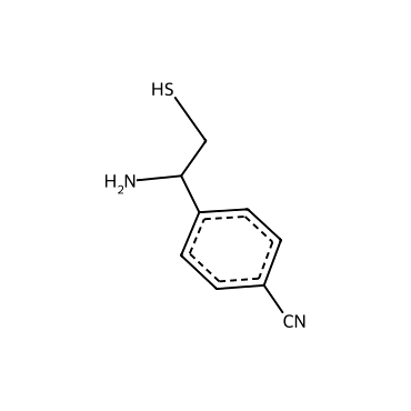 N#Cc1ccc(C(N)CS)cc1